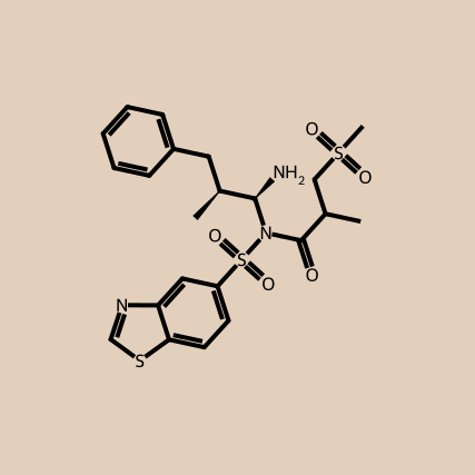 CC(CS(C)(=O)=O)C(=O)N([C@H](N)[C@@H](C)Cc1ccccc1)S(=O)(=O)c1ccc2scnc2c1